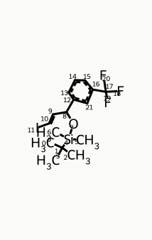 CC(C)(C)[Si](C)(C)OC(/C=C/I)c1cccc(C(F)(F)F)c1